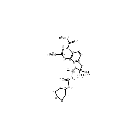 CCCCCC(=O)Oc1ccc(CC(N)(C[C@H](C)OC(=O)OC2CCCCC2)C(=O)O)cc1OC(=O)CCCCC